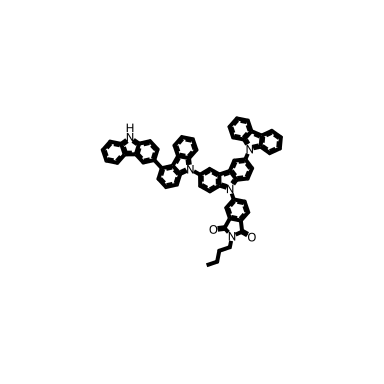 CCCCN1C(=O)c2ccc(-n3c4ccc(-n5c6ccccc6c6ccccc65)cc4c4cc(-n5c6ccccc6c6c(-c7ccc8[nH]c9ccccc9c8c7)cccc65)ccc43)cc2C1=O